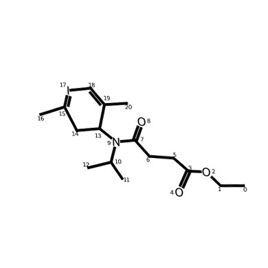 CCOC(=O)CCC(=O)N(C(C)C)C1CC(C)=IC=C1C